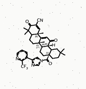 CC1(C)CC[C@]2(C(=O)n3cnc(-c4cccnc4C(F)(F)F)c3)CC[C@]3(C)[C@H](C(=O)C=C4[C@@]5(C)C=C(C#N)C(=O)C(C)(C)C5CC[C@]43C)C2C1